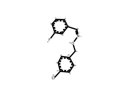 Fc1cccc(/[C]=N\OCc2ccc(Cl)cc2)c1